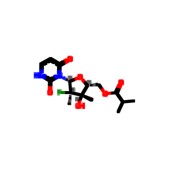 CC(C)C(=O)OC[C@H]1O[C@@H](n2c(=O)cc[nH]c2=O)[C@](C)(F)[C@@]1(C)O